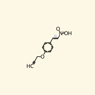 C#CCOc1ccc(/C=C/[N+](=O)O)cc1